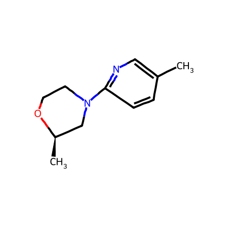 Cc1ccc(N2CCO[C@H](C)C2)nc1